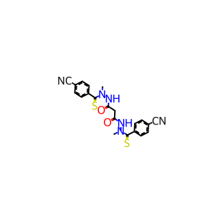 CN(NC(=O)CC(=O)NN(C)C(=S)c1ccc(C#N)cc1)C(=S)c1ccc(C#N)cc1